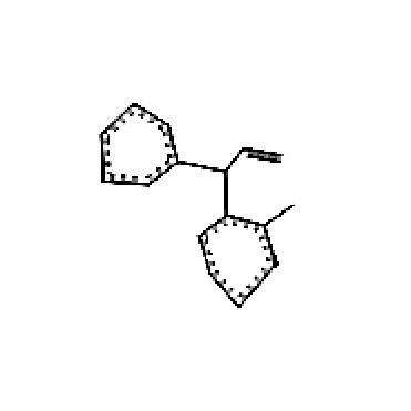 O=CC(c1ccccc1)c1ccccc1Cl